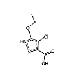 CCOc1[nH]nc(C(=O)O)c1Cl